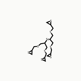 C(SCC(CSCC1CS1)[Se]C(CSCC1CS1)CSCC1CS1)C1CS1